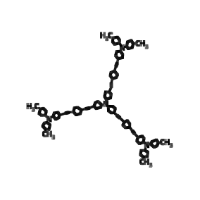 Cc1ccc(N(c2ccc(C)cc2)c2ccc(C#Cc3ccc(C#Cc4ccc(N(c5ccc(C#Cc6ccc(C#Cc7ccc(N(c8ccc(C)cc8)c8ccc(C)cc8)cc7)cc6)cc5)c5ccc(C#Cc6ccc(C#Cc7ccc(N(c8ccc(C)cc8)c8ccc(C)cc8)cc7)cc6)cc5)cc4)cc3)cc2)cc1